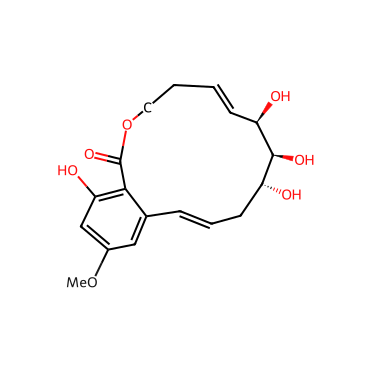 COc1cc(O)c2c(c1)/C=C/C[C@@H](O)[C@H](O)[C@H](O)/C=C/CCOC2=O